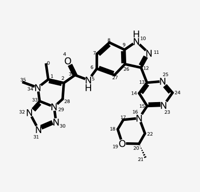 CC1=C(C(=O)Nc2ccc3[nH]nc(-c4cc(N5CCO[C@@H](C)C5)ncn4)c3c2)Cn2nnnc2N1C